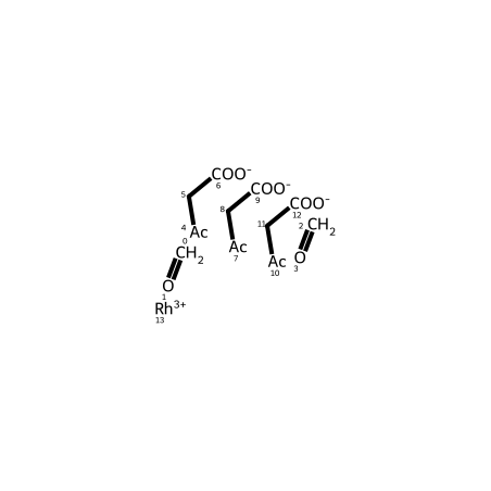 C=O.C=O.CC(=O)CC(=O)[O-].CC(=O)CC(=O)[O-].CC(=O)CC(=O)[O-].[Rh+3]